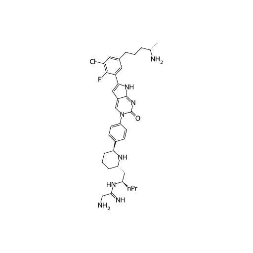 CCC[C@H](C[C@@H]1CCC[C@@H](c2ccc(-n3cc4cc(-c5cc(CCC[C@H](C)N)cc(Cl)c5F)[nH]c4nc3=O)cc2)N1)NC(=N)CN